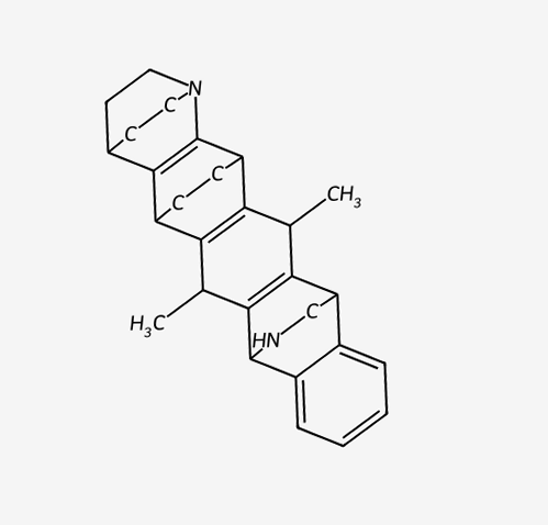 CC1C2=C(C(C)C3=C1C1CNC3c3ccccc31)C1CCC2C2=C1C1CCN2CC1